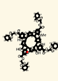 COc1cc(O)c2cc1C(c1ccc(C(=O)OCC(=O)OC3(C)CCCCC3)cc1)c1cc(c(OC)cc1O)C(c1ccc(C(=O)OCC(=O)OC3(C)CCCCC3)cc1)c1cc(c(CO)cc1O)C(c1ccc(C(=O)OCC(=O)OC3(C)CCCCC3)cc1)c1cc(c(CO)cc1O)C2c1ccc(C(=O)OCC(=O)OC2(C)CCCCC2)cc1